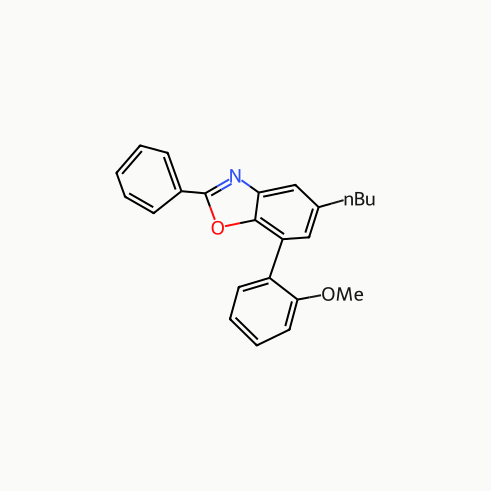 CCCCc1cc(-c2ccccc2OC)c2oc(-c3ccccc3)nc2c1